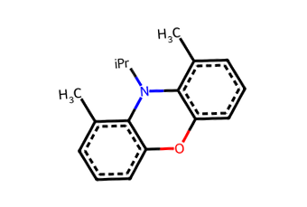 Cc1cccc2c1N(C(C)C)c1c(C)cccc1O2